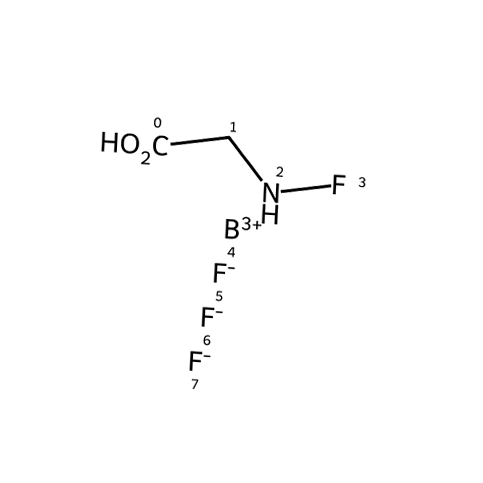 O=C(O)CNF.[B+3].[F-].[F-].[F-]